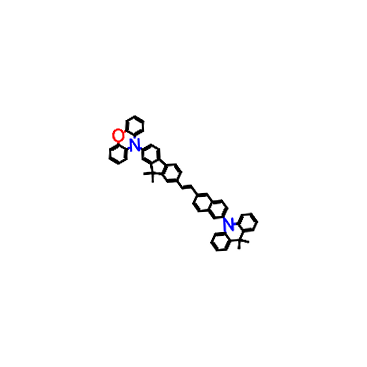 CC1(C)c2cc(/C=C/c3ccc4cc(N5c6ccccc6C(C)(C)c6ccccc65)ccc4c3)ccc2-c2ccc(N3c4ccccc4Oc4ccccc43)cc21